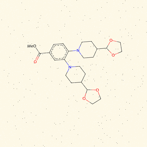 COC(=O)c1ccc(N2CCC(C3OCCO3)CC2)c(N2CCC(C3OCCO3)CC2)c1